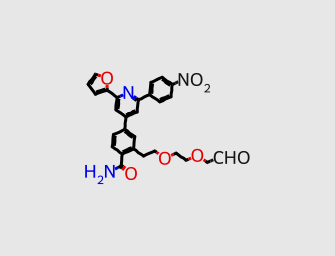 NC(=O)c1ccc(-c2cc(-c3ccc([N+](=O)[O-])cc3)nc(-c3ccco3)c2)cc1CCOCCOCC=O